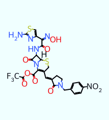 Nc1nc(/C(=N/O)C(=O)N[C@@H]2C(=O)N3C(C(=O)OC(=O)C(F)(F)F)=C(C=C4CCN(Cc5ccc([N+](=O)[O-])cc5)C4=O)CS[C@H]23)cs1